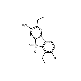 CCc1cc2c(cc1N)S(=O)(=O)c1c-2ccc(N)c1CC